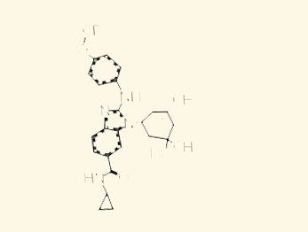 C[C@H]1C[C@@H](n2c(Nc3ccc(OC(F)(F)F)cc3)nc3ccc(C(=O)NC4CC4)cc32)CC(C)(C)C1